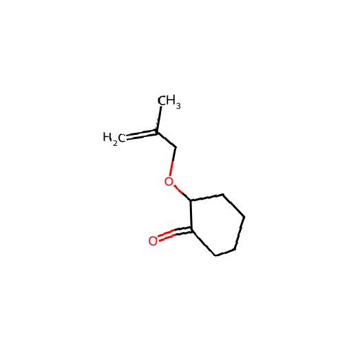 C=C(C)COC1CCCCC1=O